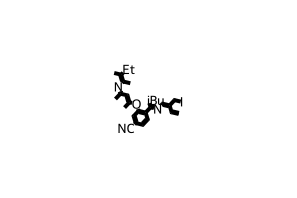 C=C/C(=C\N=C(\c1ccc(C#N)cc1O/C(C)=C/C(C)=N\C(C)=C(/C)CC)C(C)CC)CI